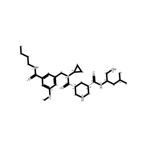 CCCCNC(=O)c1cc(CN(C(=O)[C@H]2CNC[C@@H](C(=O)NC(CO)CC(C)C)C2)C2CC2)cc(OC)c1